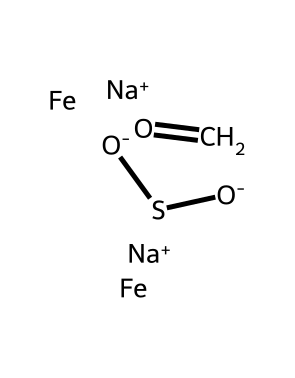 C=O.[Fe].[Fe].[Na+].[Na+].[O-]S[O-]